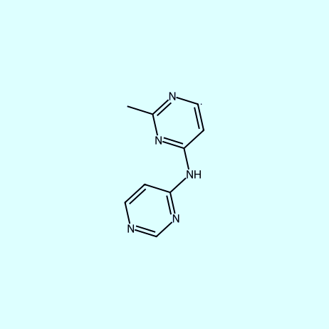 Cc1n[c]cc(Nc2ccncn2)n1